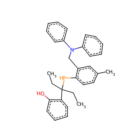 CCC(CC)(Pc1ccc(C)cc1CN(c1ccccc1)c1ccccc1)c1ccccc1O